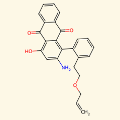 C=CCOCCc1ccccc1-c1c(N)cc(O)c2c1C(=O)c1ccccc1C2=O